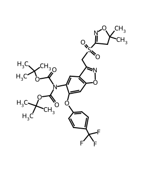 CC(C)(C)OC(=O)N(C(=O)OC(C)(C)C)c1cc2c(CS(=O)(=O)C3=NOC(C)(C)C3)noc2cc1Oc1ccc(C(F)(F)F)cc1